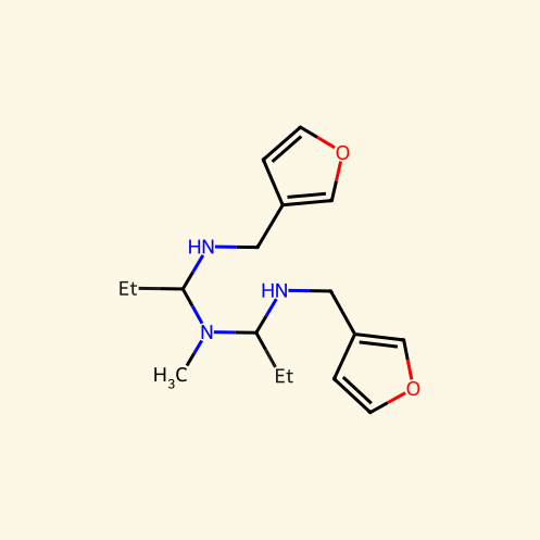 CCC(NCc1ccoc1)N(C)C(CC)NCc1ccoc1